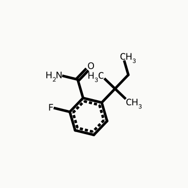 CCC(C)(C)c1cccc(F)c1C(N)=O